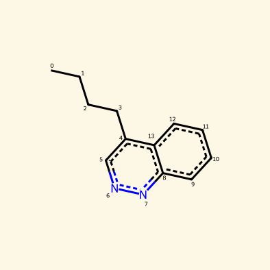 CCCCc1[c]nnc2ccccc12